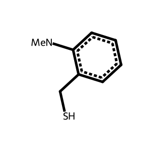 CNc1ccccc1CS